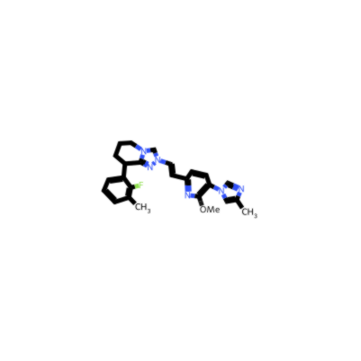 COc1nc(C=CN2CN3CCCC(c4cccc(C)c4F)C3=N2)ccc1-n1cnc(C)c1